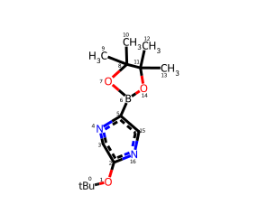 CC(C)(C)Oc1cnc(B2OC(C)(C)C(C)(C)O2)cn1